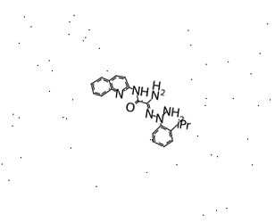 CC(C)c1ccccc1N(N)/N=C(\N)C(=O)Nc1ccc2ccccc2n1